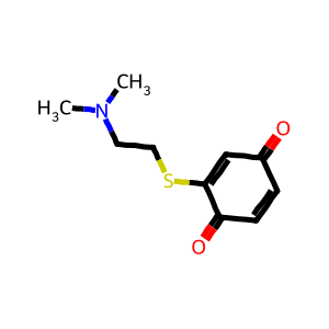 CN(C)CCSC1=CC(=O)C=CC1=O